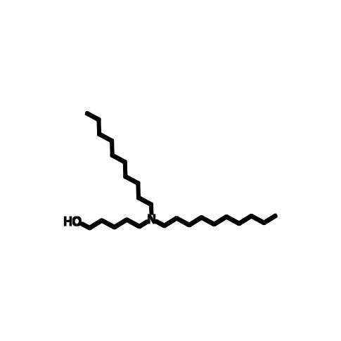 CCCCCCCCCCN(CCCCCO)CCCCCCCCCC